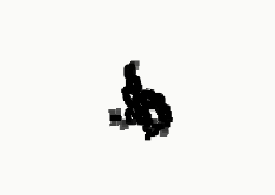 Cc1ccc(C2=C(c3ccc(OC4CCN(CCCF)C4)cc3)c3ccc(OF)cc3CCC2)c(C)c1